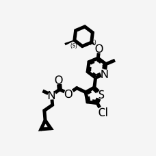 Cc1nc(-c2sc(Cl)cc2COC(=O)N(C)CCC2CC2)ccc1O[C@H]1CCC[C@H](C)C1